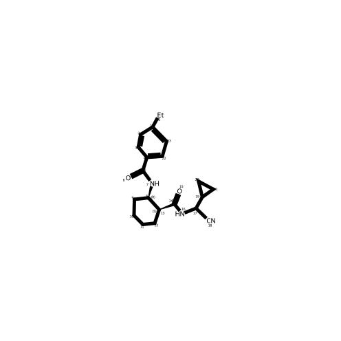 CCc1ccc(C(=O)N[C@@H]2CCCC[C@@H]2C(=O)NC(C#N)C2CC2)cc1